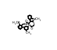 COc1ccccc1CNC(=O)C1c2c(n(C)c3ccccc23)SCC(=O)N1c1cc(C)cc(C)c1